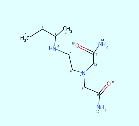 CCC(C)NCCN(CC(N)=O)CC(N)=O